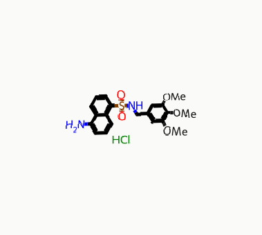 COc1cc(CNS(=O)(=O)c2cccc3c(N)cccc23)cc(OC)c1OC.Cl